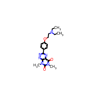 CCN(CC)CCOc1ccc(-c2nnc3c(n2)c(=O)n(C)c(=O)n3C)cc1